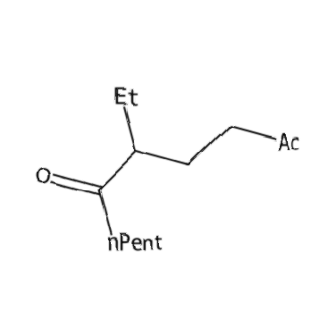 CCCCCC(=O)C(CC)CCC(C)=O